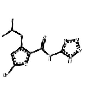 CC(C)Sc1cc(Br)oc1C(=O)Nc1nnn[nH]1